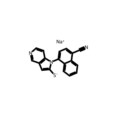 N#Cc1ccc(-n2c([S-])cc3cnccc32)c2ccccc12.[Na+]